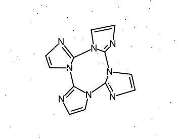 c1cn2c(n1)n1ccnc1n1ccnc1n1ccnc21